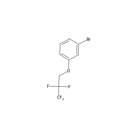 FC(F)(F)C(F)(F)COc1cccc(Br)c1